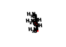 CC(CCCCNC(=O)CN(CC(=O)NCCCCC(C)C(N)=O)C(=O)CCN)C(N)=O